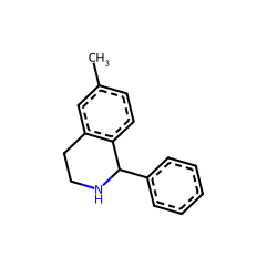 Cc1ccc2c(c1)CCNC2c1ccccc1